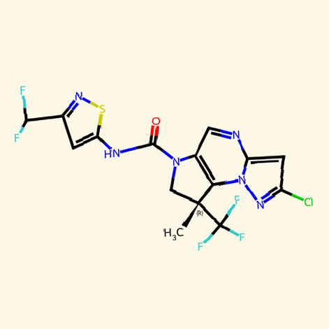 C[C@@]1(C(F)(F)F)CN(C(=O)Nc2cc(C(F)F)ns2)c2cnc3cc(Cl)nn3c21